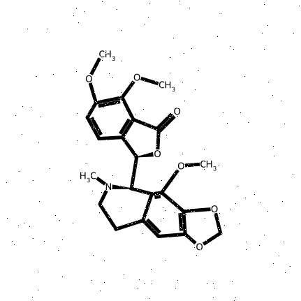 COc1ccc2c(c1OC)C(=O)O[C@H]2[C@H]1c2c(cc3c(c2OC)OCO3)CCN1C